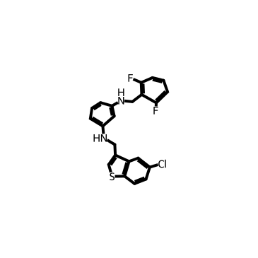 Fc1cccc(F)c1CNc1cccc(NCc2csc3ccc(Cl)cc23)c1